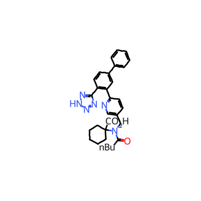 CCCCC(=O)N(Cc1ccc(-c2cc(-c3ccccc3)ccc2-c2nn[nH]n2)nc1)C1(C(=O)O)CCCCC1